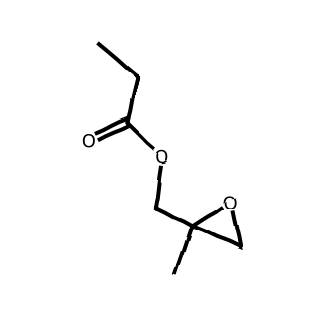 CCC(=O)OCC1(C)CO1